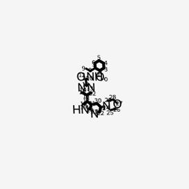 COc1ccccc1C(C)NC(=O)c1ncc(-c2c[nH]c3ncc(N4CCOCC4)cc23)cn1